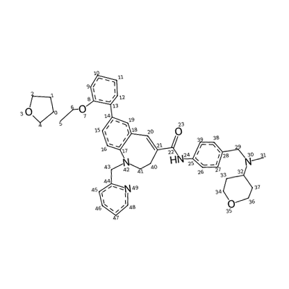 C1CCOC1.CCOc1ccccc1-c1ccc2c(c1)C=C(C(=O)Nc1ccc(CN(C)C3CCOCC3)cc1)CCN2Cc1ccccn1